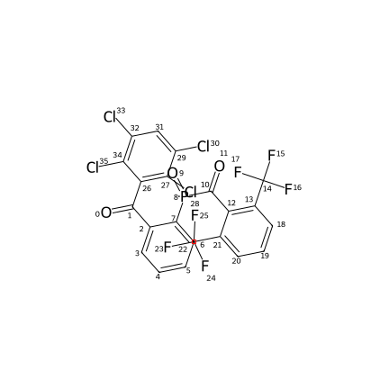 O=C(c1ccccc1[P](=O)C(=O)c1c(C(F)(F)F)cccc1C(F)(F)F)c1c(Cl)c(Cl)cc(Cl)c1Cl